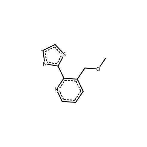 COCc1cccnc1-c1n[c]cs1